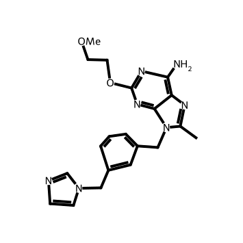 COCCOc1nc(N)c2nc(C)n(Cc3cccc(Cn4ccnc4)c3)c2n1